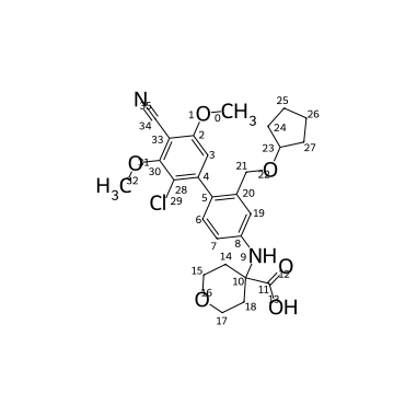 COc1cc(-c2ccc(NC3(C(=O)O)CCOCC3)cc2COC2CCCC2)c(Cl)c(OC)c1C#N